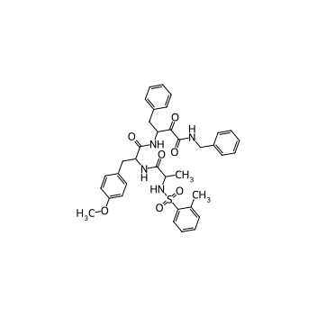 COc1ccc(CC(NC(=O)C(C)NS(=O)(=O)c2ccccc2C)C(=O)NC(Cc2ccccc2)C(=O)C(=O)NCc2ccccc2)cc1